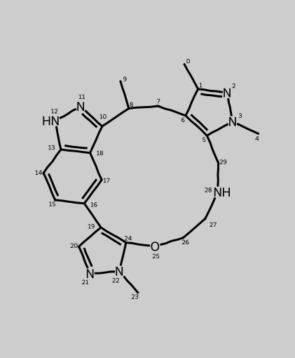 Cc1nn(C)c2c1CC(C)c1n[nH]c3ccc(cc13)-c1cnn(C)c1OCCNC2